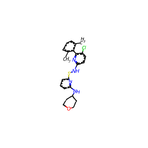 Cc1cccc(C)c1-c1nc(NSc2cccc(NC3CCOCC3)n2)ccc1Cl